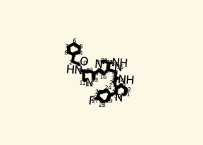 O=C(Cc1ccccc1)Nc1cncc(-c2cc3c(-c4cc5c(-c6ccc(F)cc6)nccc5[nH]4)n[nH]c3cn2)c1